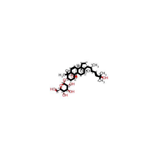 C[C@H](C/C=C/C(C)(C)O)[C@H]1CC[C@@]2(C)[C@@H]3C=C[C@@]45OC[C@]3(CC[C@]12C)[C@@H]4CC[C@H](O[C@@H]1O[C@H](CO)[C@@H](O)[C@H](O)[C@H]1O)C5(C)C